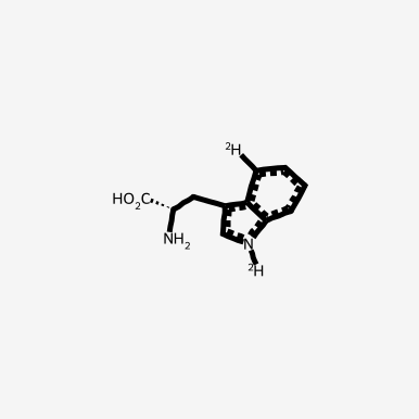 [2H]c1cccc2c1c(C[C@H](N)C(=O)O)cn2[2H]